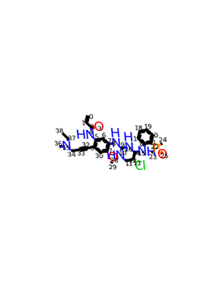 C=CC(=O)Nc1cc(NC2NCC(Cl)C(Nc3ccccc3P(C)(C)=O)N2)c(OC)cc1C#CCN(C)CC